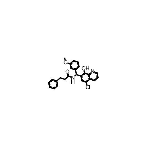 COc1cccc(C(NC(=O)CCc2ccccc2)c2cc(Cl)c3cccnc3c2O)c1